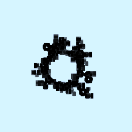 CC(=O)N[C@@H](CC(=O)O)C(=O)N[C@H]1CSSC[C@@H](C(=O)N[C@H](C(=O)O)[C@@H](C)O)NC(=O)[C@H](Cc2c[nH]c3ccccc23)NC(=O)[C@H](C(C)C)NC(=O)[C@H](CC(C)C)NC(=O)[C@H](CCC(=O)O)NC(=O)CNC(=O)[C@H](CC(C)C)NC(=O)[C@H](CC(=O)NCc2ccc(O)c(F)c2)NC(=O)[C@H](CCc2c[nH]c3ccccc23)NC(=O)[C@H](C)NC1=O